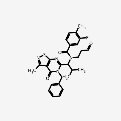 Cc1ccc(C(=O)N(CCC=O)C(c2nc3snc(C)c3c(=O)n2Cc2ccccc2)C(C)C)cc1F